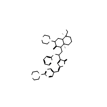 C=C1C(N2CCOCC2)CC2[C@](C)(CC[C@@H](O)[C@@]2(C)CO)C1CC(Nc1ccccn1)C1=C/C(=C\c2cnc(N3CCOCC3)nc2)OC1=O